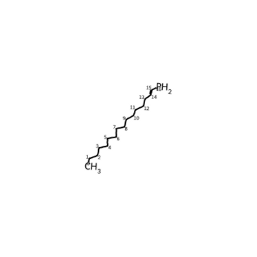 CCCCCCCCCCCCCCC=CP